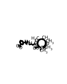 CC[C@H]1OC(=O)[C@@](C)(F)C(=O)[C@H](C)C[C@@H](C)C[C@@H](C)C(=O)[C@H](C)[C@H]2C1OC(=O)N2CCCCn1cc(-c2cccc([N+](=O)[O-])c2)nn1